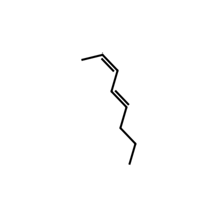 C/[C]=C\C=C\CCC